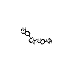 c1cnc2ccc(-c3ccnc(NCc4ccc(-n5ccnc5)cc4)n3)cc2c1